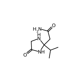 CC(C)C1(CC(N)=O)NCC(=O)N1